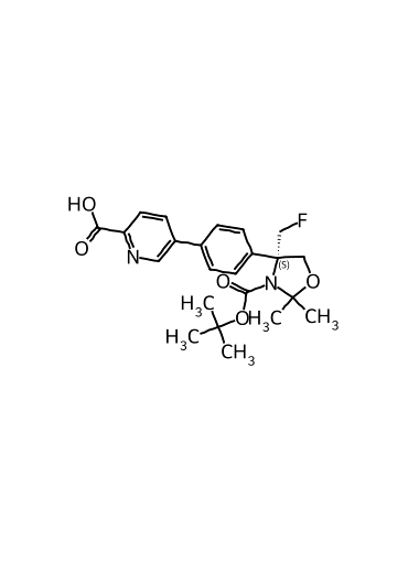 CC(C)(C)OC(=O)N1C(C)(C)OC[C@]1(CF)c1ccc(-c2ccc(C(=O)O)nc2)cc1